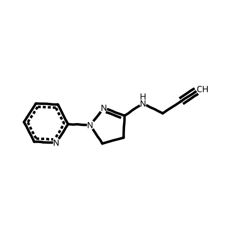 C#CCNC1=NN(c2ccccn2)CC1